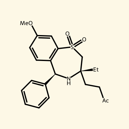 CC[C@]1(CCC(C)=O)CS(=O)(=O)c2cc(OC)ccc2[C@H](c2ccccc2)N1